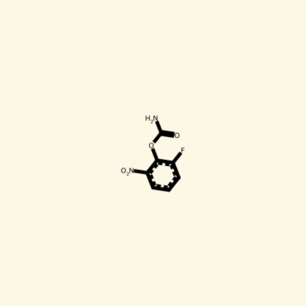 NC(=O)Oc1c(F)cccc1[N+](=O)[O-]